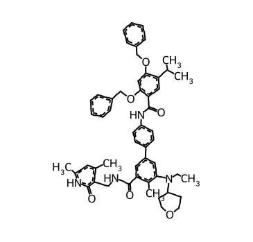 CCN(c1cc(-c2ccc(NC(=O)c3cc(C(C)C)c(OCc4ccccc4)cc3OCc3ccccc3)cc2)cc(C(=O)NCc2c(C)cc(C)[nH]c2=O)c1C)C1CCOCC1